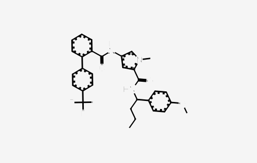 CCCC(NC(=O)c1cc(NC(=O)c2ccccc2-c2ccc(C(F)(F)F)cc2)cn1C)c1ccc(OC)cc1